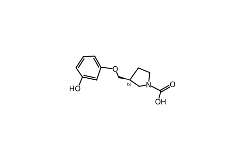 O=C(O)N1CC[C@H](COc2cccc(O)c2)C1